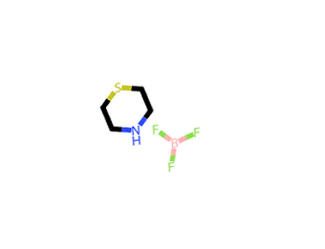 C1CSCCN1.FB(F)F